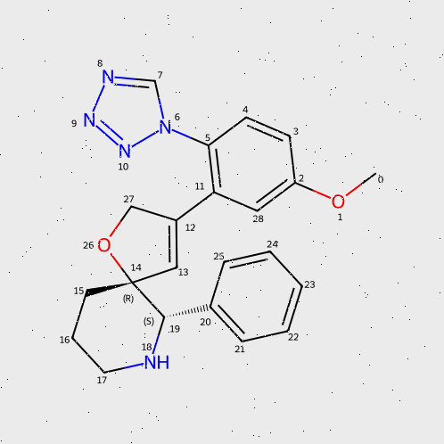 COc1ccc(-n2cnnn2)c(C2=C[C@@]3(CCCN[C@H]3c3ccccc3)OC2)c1